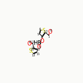 O=Cc1sccc1OBOc1ccsc1C=O